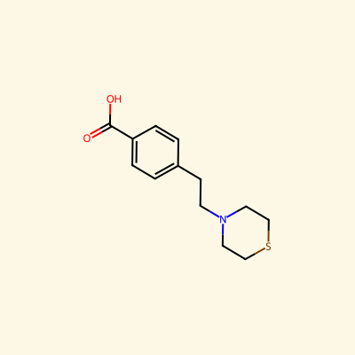 O=C(O)c1ccc(CCN2CCSCC2)cc1